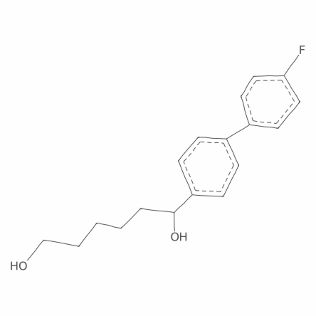 OCCCCCC(O)c1ccc(-c2ccc(F)cc2)cc1